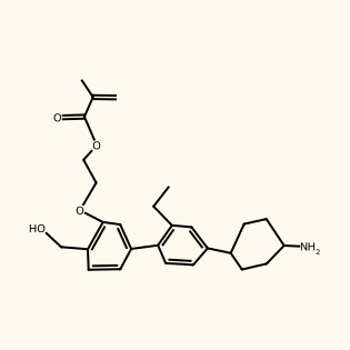 C=C(C)C(=O)OCCOc1cc(-c2ccc(C3CCC(N)CC3)cc2CC)ccc1CO